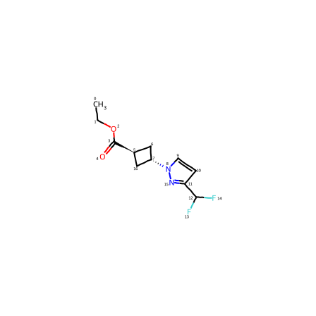 CCOC(=O)[C@H]1C[C@H](n2ccc(C(F)F)n2)C1